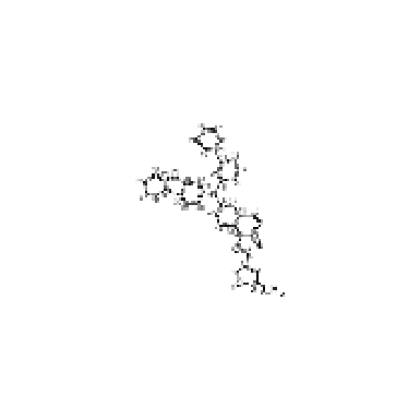 C=C/C=C(\C=C)c1nc2ccc3cc(N(c4cccc(-c5ccccc5)c4)c4ccc5c(c4)oc4ccccc45)ccc3c2o1